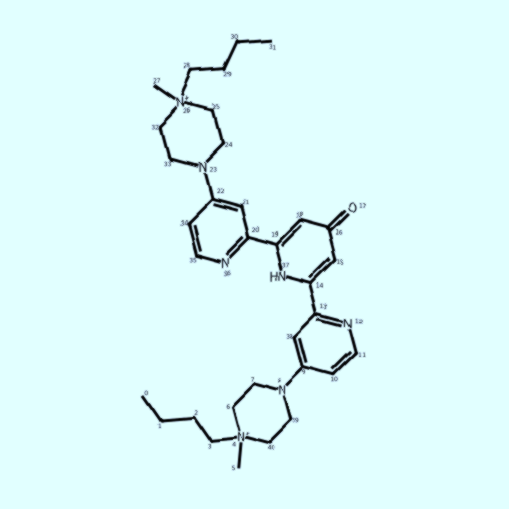 CCCC[N+]1(C)CCN(c2ccnc(-c3cc(=O)cc(-c4cc(N5CC[N+](C)(CCCC)CC5)ccn4)[nH]3)c2)CC1